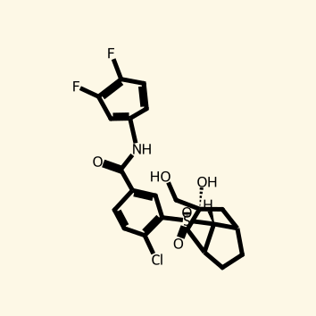 O=C(Nc1ccc(F)c(F)c1)c1ccc(Cl)c(S(=O)(=O)[C@H]2C3CCC2C[C@](O)(CO)C3)c1